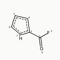 O=C(F)c1ccc[pH]1